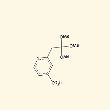 COC(Cc1cc(C(=O)O)ccn1)(OC)OC